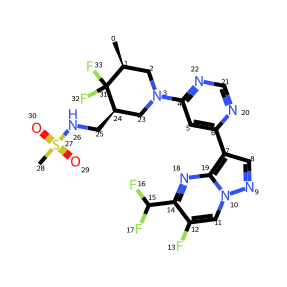 C[C@H]1CN(c2cc(-c3cnn4cc(F)c(C(F)F)nc34)ncn2)C[C@@H](CNS(C)(=O)=O)C1(F)F